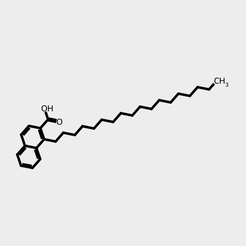 CCCCCCCCCCCCCCCCCCc1c(C(=O)O)ccc2ccccc12